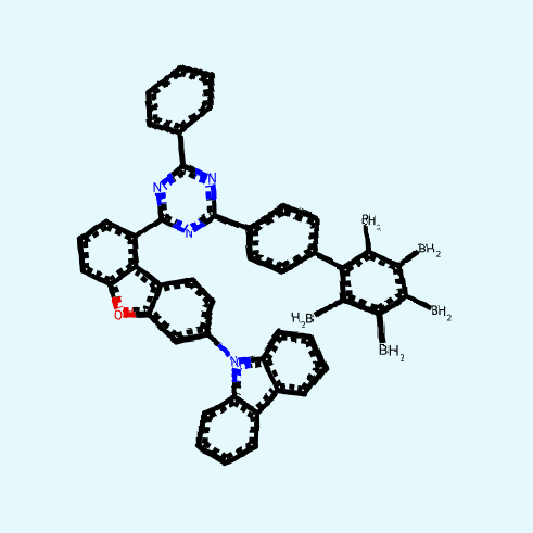 Bc1c(B)c(B)c(-c2ccc(-c3nc(-c4ccccc4)nc(-c4cccc5oc6cc(-n7c8ccccc8c8ccccc87)ccc6c45)n3)cc2)c(B)c1B